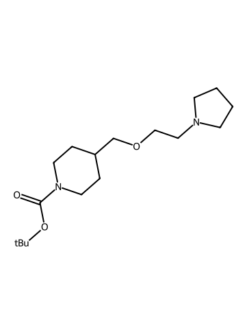 CC(C)(C)OC(=O)N1CCC(COCCN2CCCC2)CC1